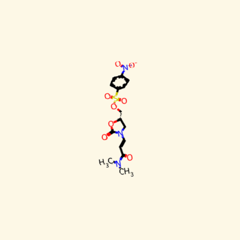 CN(C)C(=O)/C=C/N1C[C@@H](COS(=O)(=O)c2ccc([N+](=O)[O-])cc2)OC1=O